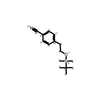 CC(C)(C)[Si](C)(C)OCCc1ccc(C#N)cc1